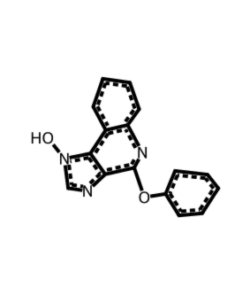 On1cnc2c(Oc3ccccc3)nc3ccccc3c21